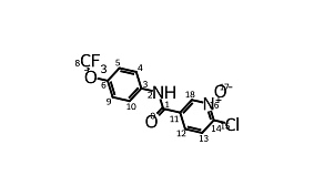 O=C(Nc1ccc(OC(F)(F)F)cc1)c1ccc(Cl)[n+]([O-])c1